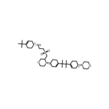 CC(C)(C)C1=CC[C@H](NCCS(=O)(=O)CC2COCCN2[C@@H]2CC=C(C(C)(C)C(C)(C)C3=CC[C@H](N4CCOCC4)CC3)CC2)CC1